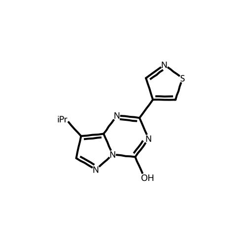 CC(C)c1cnn2c(O)nc(-c3cnsc3)nc12